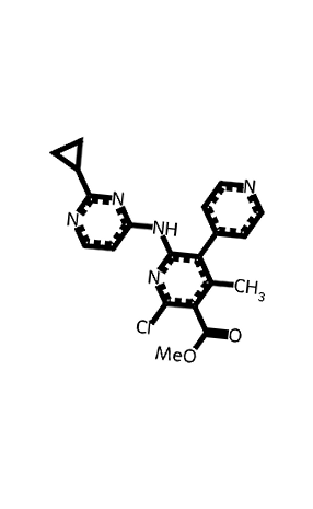 COC(=O)c1c(Cl)nc(Nc2ccnc(C3CC3)n2)c(-c2ccncc2)c1C